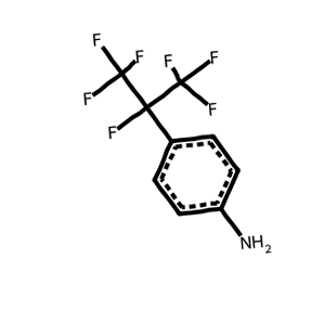 Nc1ccc(C(F)(C(F)(F)F)C(F)(F)F)cc1